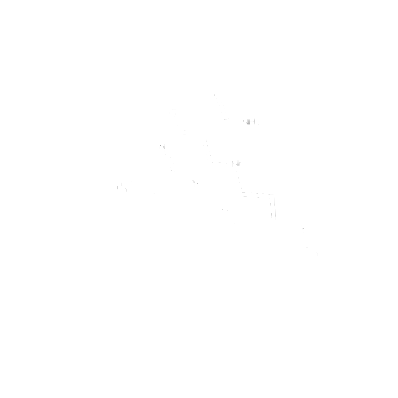 CSc1nc(Cl)c(C(N)=O)c(Nc2cccc(C(C)=O)c2)n1